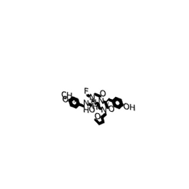 COc1ccc(CNC(=O)N2[C@H]3CN(CC4CCCO4)C(=O)[C@H](Cc4ccc(O)cc4)N3C(=O)CN2CF)cc1